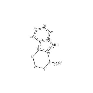 OC1C[C]Cc2c1[nH]c1ccccc21